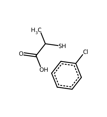 CC(S)C(=O)O.Clc1ccccc1